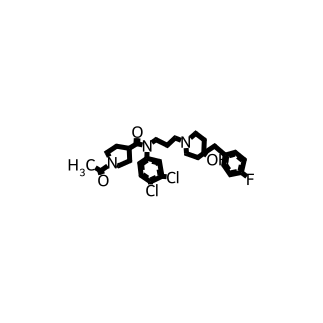 CC(=O)N1CCC(C(=O)N(CCCN2CCC(O)(Cc3ccc(F)cc3)CC2)c2ccc(Cl)c(Cl)c2)CC1